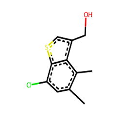 Cc1cc(Cl)c2scc(CO)c2c1C